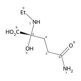 CCN[C@@](O)(CCC(N)=O)C(=O)O